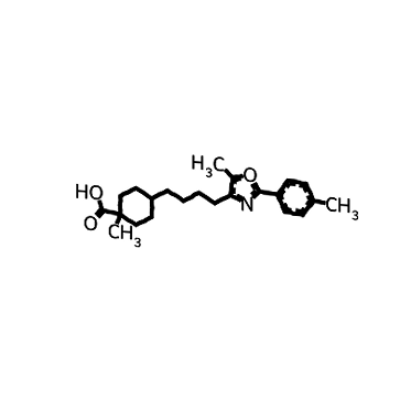 Cc1ccc(-c2nc(CCCCC3CCC(C)(C(=O)O)CC3)c(C)o2)cc1